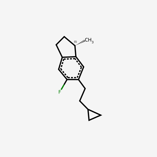 C[C@H]1CCc2cc(F)c(CCC3CC3)cc21